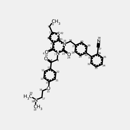 CCc1cc2c(=O)n(CC(=O)c3ccc(OCCN(C)C)cc3)c(=O)n(Cc3ccc(-c4ccccc4C#N)cc3)c2s1